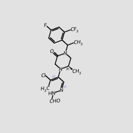 C/C(Cl)=C(\C=N/NC=O)N1CC(=O)N(C(C)c2ccc(F)cc2C(F)(F)F)C[C@H]1C